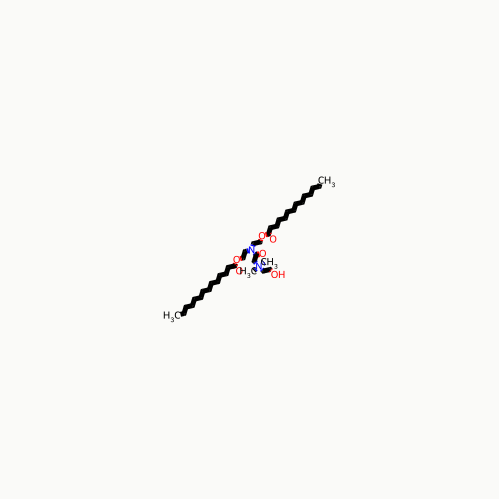 CCCCCCCCCCCCCC(=O)OCCN(CCOC(=O)CCCCCCCCCCCCC)C(=O)C[N+](C)(C)CCO